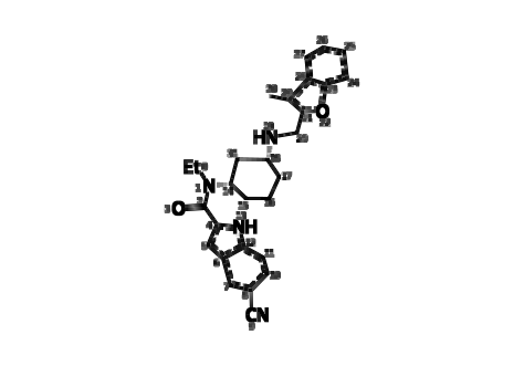 CCN(C(=O)c1cc2cc(C#N)ccc2[nH]1)[C@H]1CCC[C@@H](NCc2oc3ccccc3c2C)C1